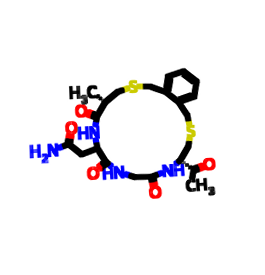 CC(=O)[C@H]1CSCc2ccccc2CSC[C@@H](C)C(=O)NC(CC(N)=O)C(=O)NCC(=O)N1